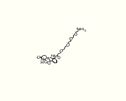 NCCOCCOCCOCCOCCC(=O)Nc1cccc2c1CN(C1CCC(=O)NC1=O)C2=O